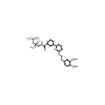 COc1ccc(CCOc2cccc(-c3cccc(C(=O)NCC(C)(C)CN(C)C)c3)n2)cc1OC